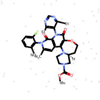 CCc1ncnc(CC)c1-n1c(=O)c2c(c3cc(C)n(-c4c(F)cccc4[N+](=O)[O-])c(=O)c31)N1CCN(C(=O)OC(C)(C)C)C[C@@H]1CCO2